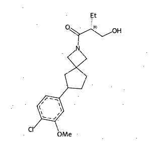 CC[C@H](CO)C(=O)N1CC2(CCC(c3ccc(Cl)c(OC)c3)C2)C1